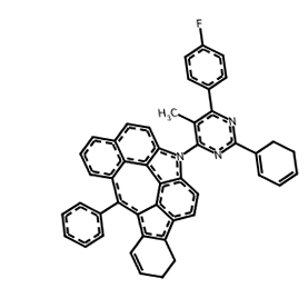 Cc1c(-c2ccc(F)cc2)nc(C2=CC=CCC2)nc1-n1c2ccc3c4c(c5c(-c6ccccc6)c6cccc7ccc1c(c2c3-5)c76)C=CCC4